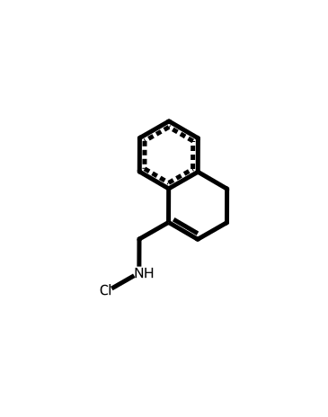 ClNCC1=CCCc2ccccc21